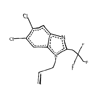 C=CCn1c(C(F)(F)F)nc2cc(Cl)c(Cl)cc21